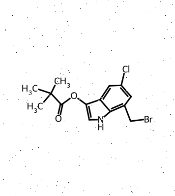 CC(C)(C)C(=O)Oc1c[nH]c2c(CBr)cc(Cl)cc12